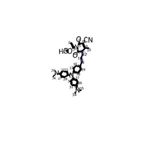 C=C(OO)N1C(=O)C(C#N)=C(C)/C(=C/C=C/c2ccc(N(c3ccc(N(C)C)cc3)c3ccc(N(C)C)cc3)cc2)C1=O